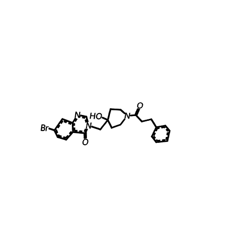 O=C(CCc1ccccc1)N1CCC(O)(Cn2cnc3cc(Br)ccc3c2=O)CC1